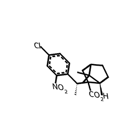 C[C@H](c1ccc(Cl)cc1[N+](=O)[O-])C1(C(=O)O)CC2CC[C@@]1(C)C2(C)C